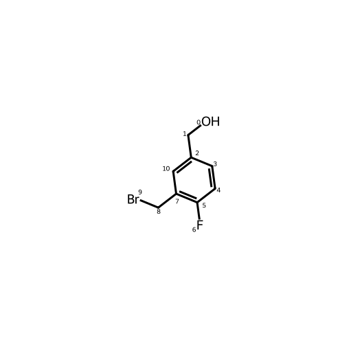 OCc1ccc(F)c(CBr)c1